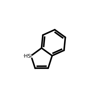 C1=Cc2ccccc2[SiH]1